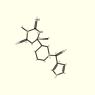 CN1C(=N)N[C@](C)(C2CCCN(C(=O)c3ccsc3)C2)CC1=O